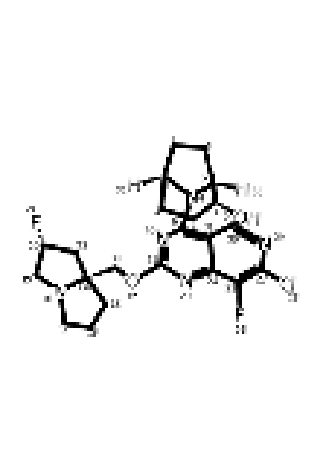 O[C@H]1CC[C@@H]2CC[C@H]1N2c1nc(OC[C@@]23CCCN2C[C@H](F)C3)nc2c(F)c(Cl)ncc12